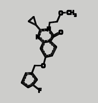 COCCn1c(C2CC2)nc2cc(OCc3cccc(F)c3)ccc2c1=O